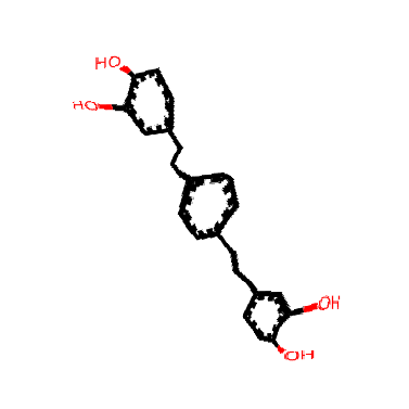 Oc1ccc(CCc2ccc(CCc3ccc(O)c(O)c3)cc2)cc1O